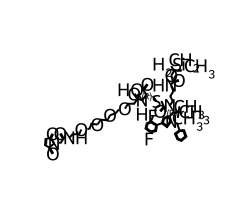 C=CC(C[SiH2]C)OC(=O)NCCCN(C(=O)CSC[C@H](NC(=O)CCOCCOCCOCCOCCNC(=O)CN1C(=O)C=CC1=O)C(=O)O)[C@@H](c1cc(-c2cc(F)ccc2F)cn1Cc1ccccc1)C(C)(C)C